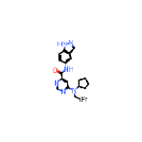 CC(C)CN(c1cc(C(=O)Nc2ccc3[nH]ncc3c2)ncn1)C1CCCC1